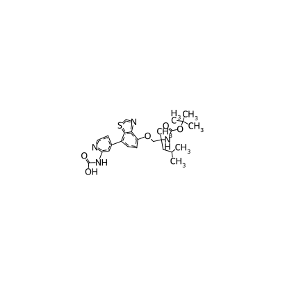 CC(C)CC(C)(COc1ccc(-c2ccnc(NC(=O)O)c2)c2scnc12)NC(=O)OC(C)(C)C